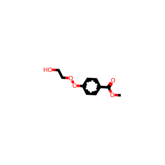 COC(=O)c1ccc(OOCCO)cc1